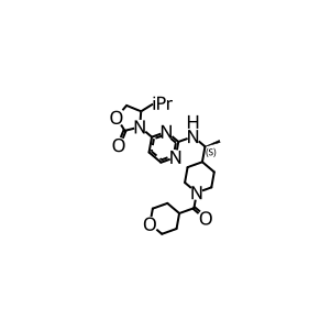 CC(C)C1COC(=O)N1c1ccnc(N[C@@H](C)C2CCN(C(=O)C3CCOCC3)CC2)n1